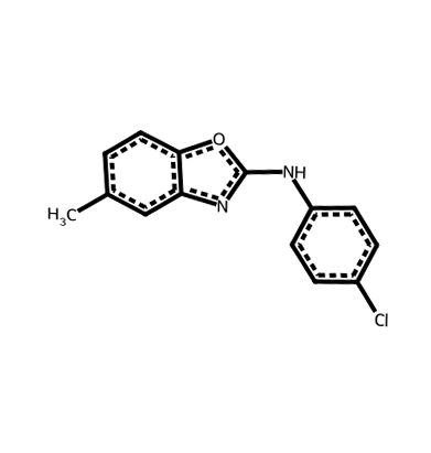 Cc1ccc2oc(Nc3ccc(Cl)cc3)nc2c1